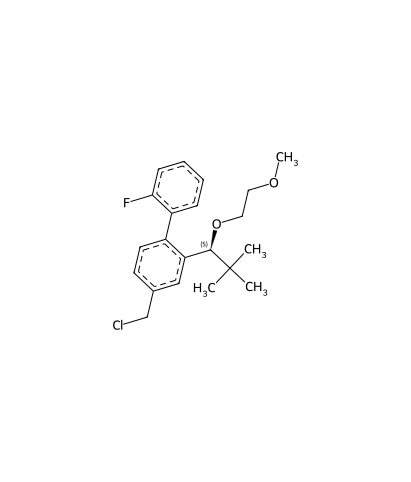 COCCO[C@H](c1cc(CCl)ccc1-c1ccccc1F)C(C)(C)C